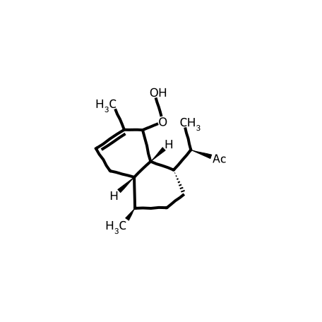 CC(=O)[C@H](C)[C@@H]1CC[C@@H](C)[C@@H]2CC=C(C)C(OO)[C@@H]21